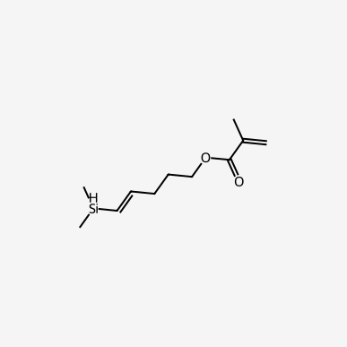 C=C(C)C(=O)OCCCC=C[SiH](C)C